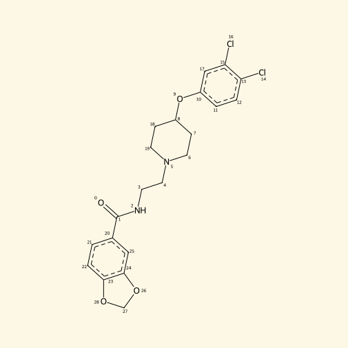 O=C(NCCN1CCC(Oc2ccc(Cl)c(Cl)c2)CC1)c1ccc2c(c1)OCO2